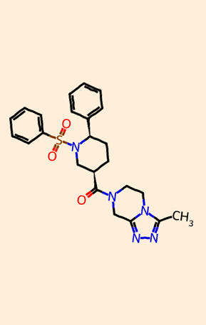 Cc1nnc2n1CCN(C(=O)[C@@H]1CC[C@H](c3ccccc3)N(S(=O)(=O)c3ccccc3)C1)C2